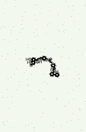 O=C(CCN1CCC(OC(=O)Nc2ccccc2-c2ccccc2)CC1)NCC1CCC(CNC[C@H](O)c2ccc(O)c3[nH]c(=O)ccc23)CC1